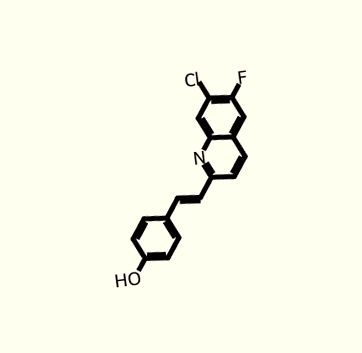 Oc1ccc(C=Cc2ccc3cc(F)c(Cl)cc3n2)cc1